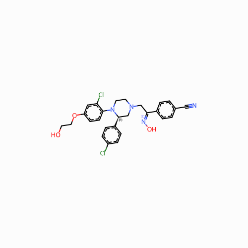 N#Cc1ccc(/C(CN2CCN(c3ccc(OCCO)cc3Cl)[C@H](c3ccc(Cl)cc3)C2)=N\O)cc1